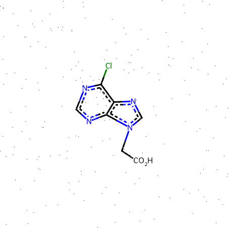 O=C(O)Cn1cnc2c(Cl)ncnc21